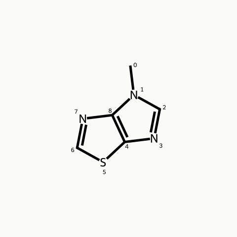 Cn1cnc2scnc21